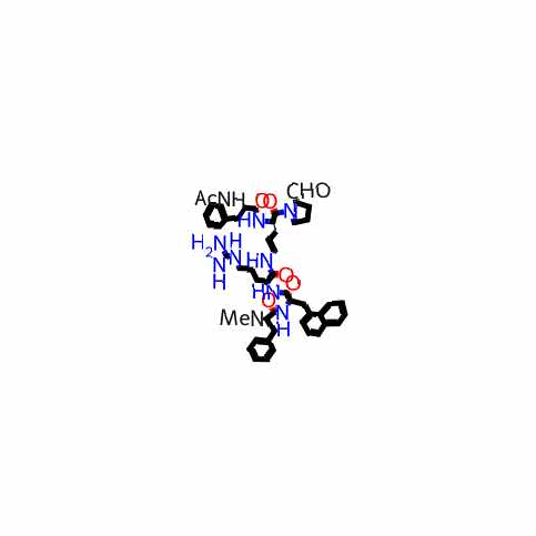 CN[C@H](Cc1ccccc1)C(=O)NC(Cc1cccc2ccccc12)C(=O)NC(CCCNC(=N)N)C(=O)NCCC[C@H](NC(=O)[C@H](Cc1ccccc1)NC(C)=O)C(=O)N1CCCC1C=O